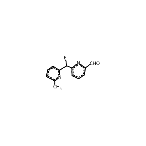 Cc1cccc(C(F)c2cccc(C=O)n2)n1